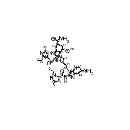 CCn1nc(C)cc1C(=O)Nc1nc2cc(N)cnc2n1C/C=C/Cn1c(NC(=O)c2cc(C)nn2CC)nc2cc(C(N)=O)cc(OC)c21